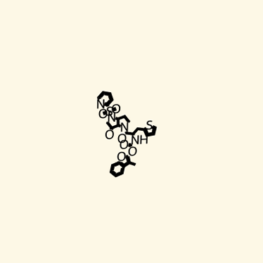 Cc1c(OC(=O)NC(Cc2cccs2)C(=O)N2CCC3C2C(=O)CN3S(=O)(=O)c2ccccn2)oc2ccccc12